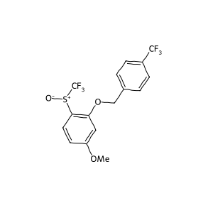 COc1ccc([S+]([O-])C(F)(F)F)c(OCc2ccc(C(F)(F)F)cc2)c1